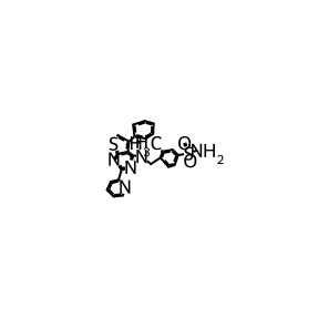 Cc1cc(S(N)(=O)=O)ccc1CNc1nc(-c2ccccn2)nc2scc(-c3ccccc3)c12